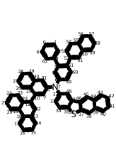 c1ccc(-c2cc(N(c3cc(-c4cc5ccccc5c5ccccc45)c4ccccc4c3)c3ccc4sc5cc6ccccc6cc5c4c3)ccc2-c2ccc3ccccc3c2)cc1